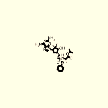 CC(C)OC(=O)[C@H](C)N[P@](=O)(OC[C@H]1C[C@@H](n2cnc3c(N)nc(N)nc32)[C@](C)(F)[C@@H]1O)Oc1ccccc1